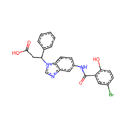 O=C(O)CC(c1ccccc1)n1cnc2cc(NC(=O)c3cc(Br)ccc3O)ccc21